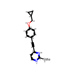 CSc1nccc(C#Cc2ccc(OCC3CC3)cc2)n1